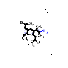 C=C(/C=C(CC(=C/CC(=C)CC)/C(C)=C(\C)N)/C(C)=C/C)CC